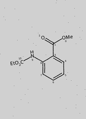 [CH2]OC(=O)c1ccccc1NC(=O)OCC